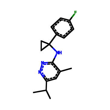 Cc1cc(C(C)C)nnc1NC1(c2ccc(F)cc2)CC1